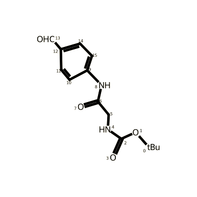 CC(C)(C)OC(=O)NCC(=O)Nc1ccc(C=O)cc1